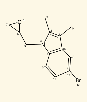 Cc1c(C)n(CC2CO2)c2ccc(Br)cc12